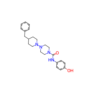 O=C(Nc1ccc(O)cc1)N1CCN(N2CCC(Cc3ccccc3)CC2)CC1